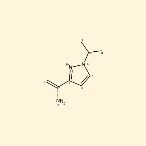 C=C(N)c1ccn(C(C)C)n1